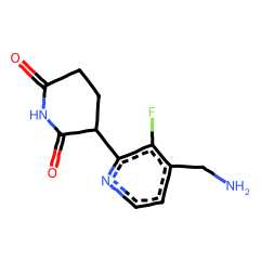 NCc1ccnc(C2CCC(=O)NC2=O)c1F